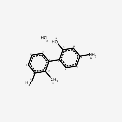 Cc1cccc(-c2ccc(N)cc2O)c1C.Cl